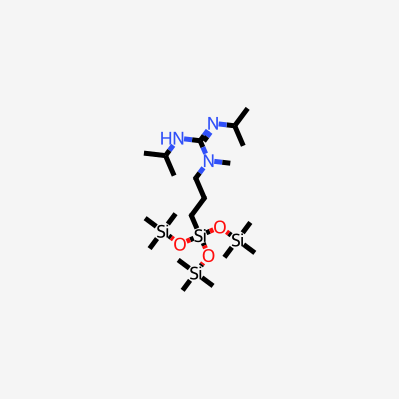 CC(C)/N=C(/NC(C)C)N(C)CCC[Si](O[Si](C)(C)C)(O[Si](C)(C)C)O[Si](C)(C)C